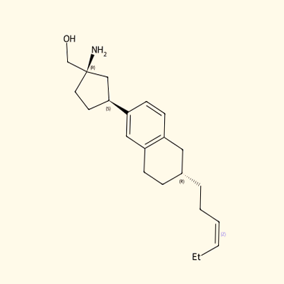 CC/C=C\CC[C@@H]1CCc2cc([C@H]3CC[C@](N)(CO)C3)ccc2C1